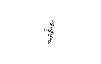 CN(C)c1cc(N2CCN(Cc3cccnc3)CC2)c(F)cc1N(C=O)Cc1ccc(-c2nnc(C(F)F)o2)cn1